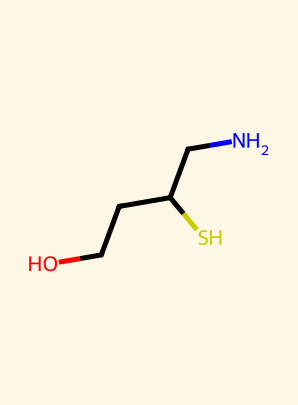 NCC(S)CCO